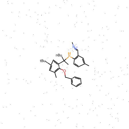 CCCCC(C)(Pc1ccc(C)cc1/C=N/C)c1cc(C(C)(C)C)cc(C)c1OCc1ccccc1